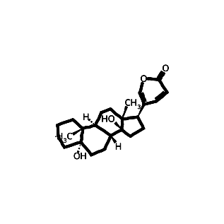 C[C@]12CC[CH]C[C@]1(O)CC[C@@H]1[C@@H]2CC[C@]2(C)[C@@H](c3ccc(=O)oc3)CC[C@]12O